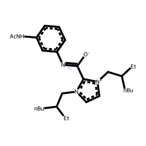 CCCCC(CC)Cn1cc[n+](CC(CC)CCCC)c1/C([O-])=N/c1cccc(NC(C)=O)c1